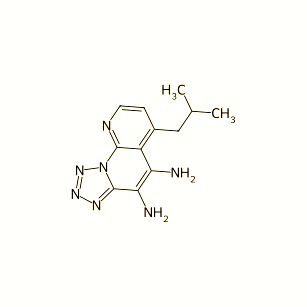 CC(C)Cc1ccnc2c1c(N)c(N)c1nnnn12